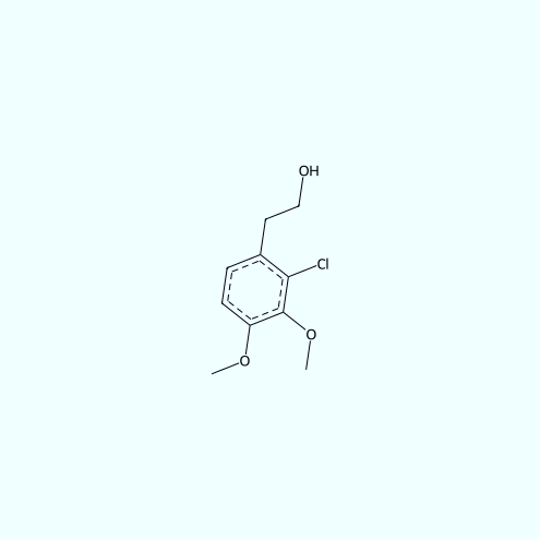 COc1ccc(CCO)c(Cl)c1OC